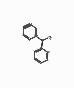 OC(c1cc#ccc1)c1ccccc1